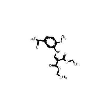 BC(=O)c1ccc(OC)c(NC=C(C(=O)OCC)C(=O)OCC)c1